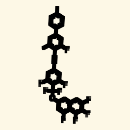 Cc1ccc(-c2cc(C)c(C#Cc3cc(F)c(C(F)(F)Oc4cc(F)c5c(F)c(F)c(F)cc5c4)c(F)c3)c(F)c2)cc1